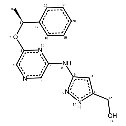 C[C@H](Oc1cncc(Nc2cc(CO)[nH]n2)n1)c1ccccc1